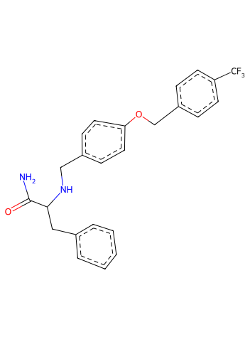 NC(=O)C(Cc1ccccc1)NCc1ccc(OCc2ccc(C(F)(F)F)cc2)cc1